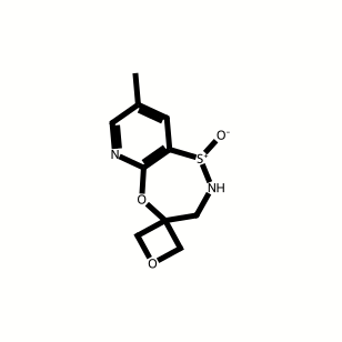 Cc1cnc2c(c1)[S+]([O-])NCC1(COC1)O2